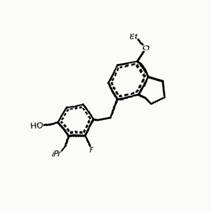 CCOc1ccc(Cc2ccc(O)c(C(C)C)c2F)c2c1CCC2